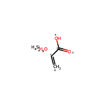 C=CC(=O)O.O.[SiH4]